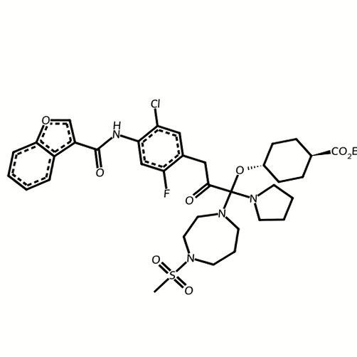 CCOC(=O)[C@H]1CC[C@H](OC(C(=O)Cc2cc(Cl)c(NC(=O)c3coc4ccccc34)cc2F)(N2CCCC2)N2CCCN(S(C)(=O)=O)CC2)CC1